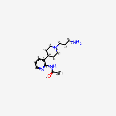 CC(C)C(=O)Nc1ncccc1C1CCN(CCCN)CC1